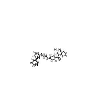 Nc1ccccc1NC(=O)c1ccc(C=CCNc2nccc(-c3cccnc3)n2)cc1